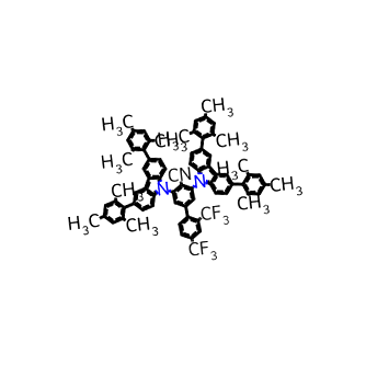 Cc1cc(C)c(-c2ccc3c(c2)c2cc(-c4c(C)cc(C)cc4C)ccc2n3-c2cc(-c3ccc(C(F)(F)F)cc3C(F)(F)F)cc(-n3c4ccc(-c5c(C)cc(C)cc5C)cc4c4cc(-c5c(C)cc(C)cc5C)ccc43)c2C#N)c(C)c1